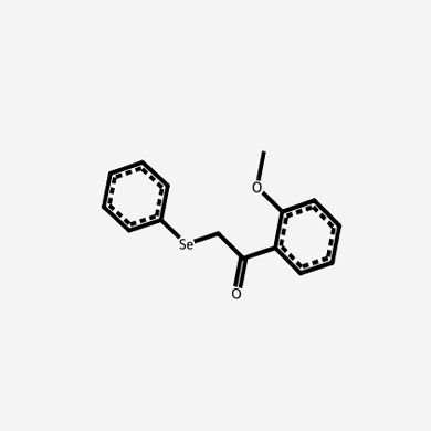 COc1ccccc1C(=O)C[Se]c1ccccc1